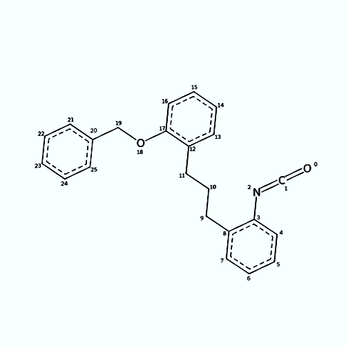 O=C=Nc1ccccc1CCCc1ccccc1OCc1ccccc1